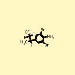 CC(F)(c1cc(Br)c(N)c(Br)c1)C(F)(F)C(F)(F)F